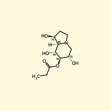 CCC(=O)O[C@H]1[C@H](O)[C@H]2[C@@H](O)CCN2C[C@@H]1O